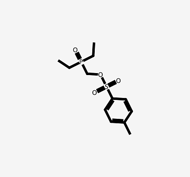 CCP(=O)(CC)COS(=O)(=O)c1ccc(C)cc1